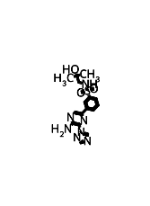 CC(C)(O)CNS(=O)(=O)c1cccc(-c2cnc(N)c(-n3cncn3)n2)c1